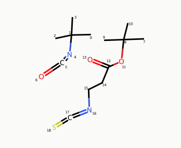 CC(C)(C)N=C=O.CC(C)(C)OC(=O)CCN=C=S